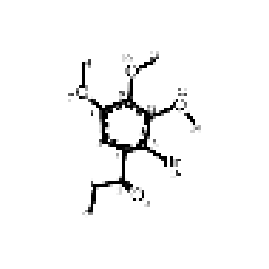 CCC(=O)c1cc(OC)c(OC)c(OC)c1Br